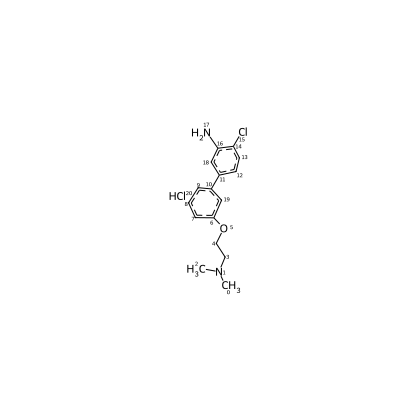 CN(C)CCOc1cccc(-c2ccc(Cl)c(N)c2)c1.Cl